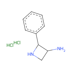 Cl.Cl.NC1CNC1c1ccccc1